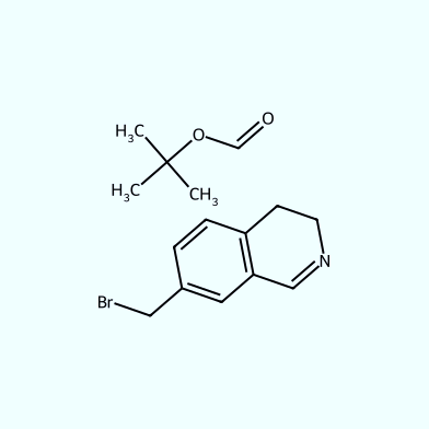 BrCc1ccc2c(c1)C=NCC2.CC(C)(C)OC=O